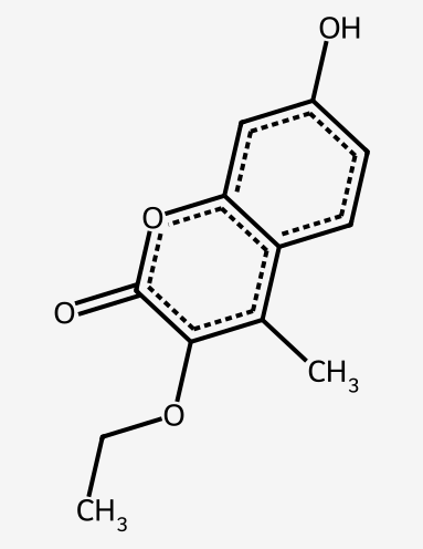 CCOc1c(C)c2ccc(O)cc2oc1=O